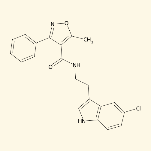 Cc1onc(-c2ccccc2)c1C(=O)NCCc1c[nH]c2ccc(Cl)cc12